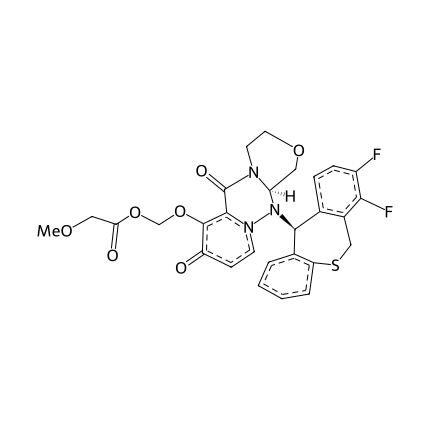 COCC(=O)OCOc1c2n(ccc1=O)N([C@@H]1c3ccccc3SCc3c1ccc(F)c3F)[C@@H]1COCCN1C2=O